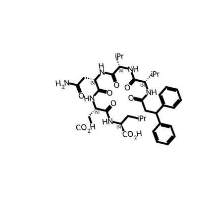 CC(C)C[C@H](NC(=O)[C@H](CC(=O)O)NC(=O)[C@H](CC(N)=O)NC(=O)[C@@H](NC(=O)[C@@H](NC(=O)CC(c1ccccc1)c1ccccc1)C(C)C)C(C)C)C(=O)O